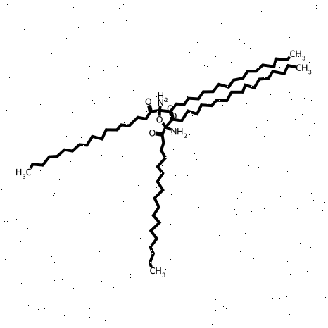 CCCCCCCCCCCCCCCCCC(=O)C(N)(OC(N)(C(=O)CCCCCCCCCCCCCCCCC)C(=O)CCCCCCCCCCCCCCCCC)C(=O)CCCCCCCCCCCCCCCCC